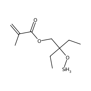 C=C(C)C(=O)OCC(CC)(CC)O[SiH3]